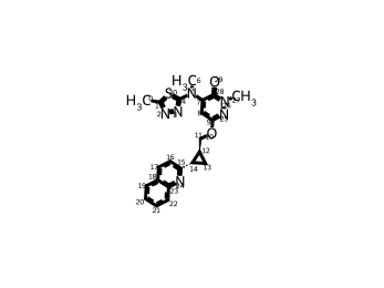 Cc1nnc(N(C)c2cc(OC[C@H]3C[C@@H]3c3ccc4ccccc4n3)nn(C)c2=O)s1